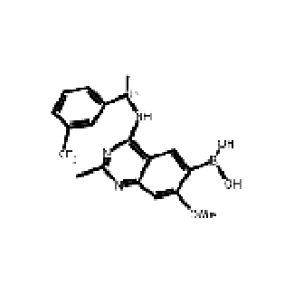 COc1cc2nc(C)nc(N[C@H](C)c3cccc(C(F)(F)F)c3)c2cc1B(O)O